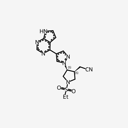 CCS(=O)(=O)N1C[C@H](CC#N)[C@H](n2cc(-c3ncnc4[nH]ccc34)cn2)C1